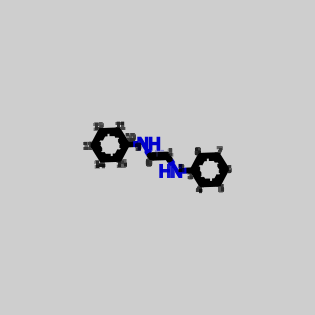 C(=C\Nc1ccccc1)/Nc1ccccc1